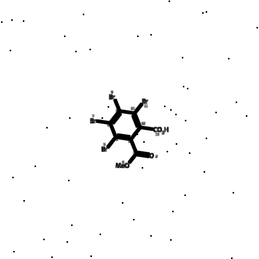 COC(=O)c1c(Br)c(Br)c(Br)c(Br)c1C(=O)O